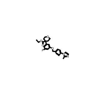 CCOC(=O)C1(c2cc(F)cc(OCc3ccc(-n4ccnc4C)cc3)c2)CCOCC1